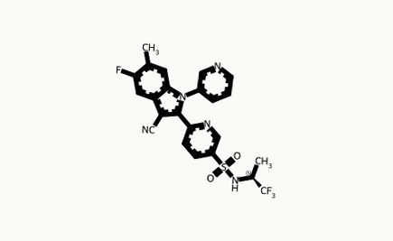 Cc1cc2c(cc1F)c(C#N)c(-c1ccc(S(=O)(=O)N[C@@H](C)C(F)(F)F)cn1)n2-c1cccnc1